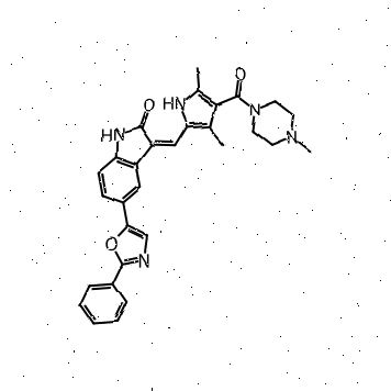 Cc1[nH]c(/C=C2\C(=O)Nc3ccc(-c4cnc(-c5ccccc5)o4)cc32)c(C)c1C(=O)N1CCN(C)CC1